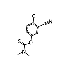 CN(C)C(=S)Oc1ccc(Cl)c(C#N)c1